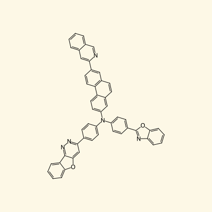 c1ccc2cc(-c3ccc4c(ccc5cc(N(c6ccc(-c7cc8oc9ccccc9c8nn7)cc6)c6ccc(-c7nc8ccccc8o7)cc6)ccc54)c3)ncc2c1